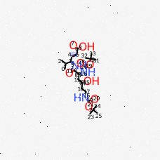 CC(C)C(/C=C/C(=O)O)NC(=O)[C@H](C[C@@H](O)CCNC(=O)OC(C)(C)C)NC(=O)OC(C)(C)C